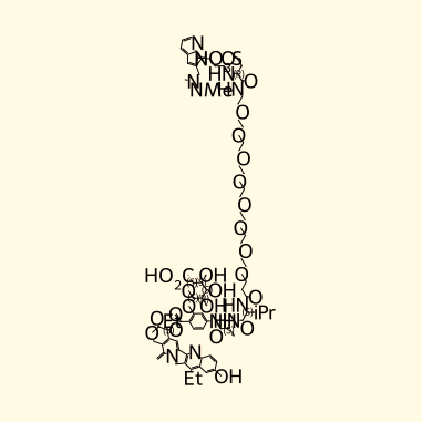 C=C1C2=C(C=C3c4nc5ccc(O)cc5c(CC)c4CN13)[C@](CC)(OC(=O)c1ccc(NC(=O)[C@H](C)NC(=O)[C@@H](NC(=O)CCOCCOCCOCCOCCOCCOCCOCCOCCNC(=O)[C@H](CS(=O)(=O)O)NC(=O)CCn3c(CN(C)NC)cc4cccnc43)C(C)C)cc1O[C@@H]1O[C@H](C(=O)O)[C@@H](O)[C@H](O)[C@H]1O)C(=O)OC2